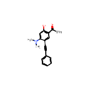 COC(=O)c1cc(C#Cc2ccccc2)c(N(C)C)cc1O